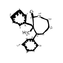 CC1(c2ccccc2)C(=O)OCCCC1c1ccccc1